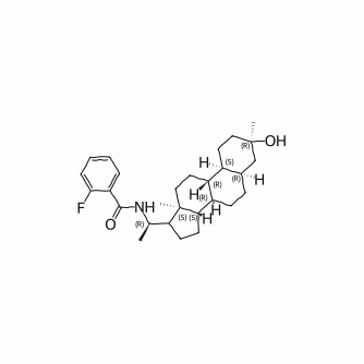 C[C@@H](NC(=O)c1ccccc1F)C1CC[C@H]2[C@@H]3CC[C@@H]4C[C@](C)(O)CC[C@@H]4[C@H]3CC[C@]12C